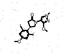 COc1cc(I)c([C@H]2CC(=O)N(c3cn(C)nc3OC)C2)c(I)c1